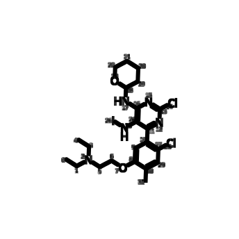 CCN(CC)CCOc1cc(-c2nc(Cl)nc(NC3CCCCO3)c2NI)c(Cl)cc1C